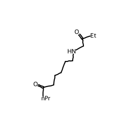 CCCC(=O)CCCCCNCC(=O)CC